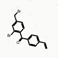 C=Cc1ccc(C(=O)c2ccc(CBr)cc2Br)cc1